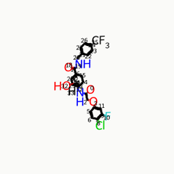 O=C(COc1ccc(Cl)c(F)c1)NC12CCC(C(=O)NCc3ccc(C(F)(F)F)cc3)(CC1)C[C@@H]2O